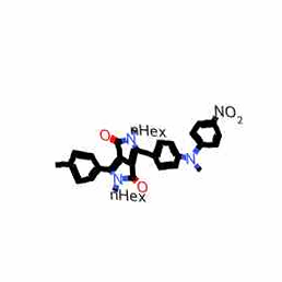 CCCCCCN1C(=O)C2=C(c3ccc(N(C)c4ccc([N+](=O)[O-])cc4)cc3)N(CCCCCC)C(=O)C2=C1c1ccc(C)cc1